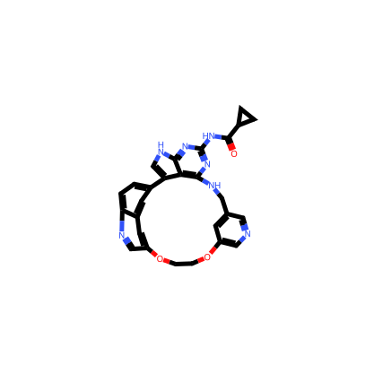 O=C(Nc1nc2c3c(c[nH]c3n1)-c1ccc3ncc(cc3c1)OCCOc1cncc(c1)CN2)C1CC1